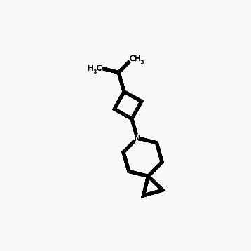 CC(C)C1CC(N2CCC3(CC2)CC3)C1